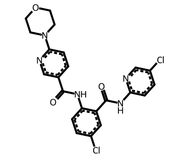 O=C(Nc1ccc(Cl)cc1C(=O)Nc1ccc(Cl)cn1)c1ccc(N2CCOCC2)nc1